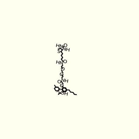 C=C(C)[C@@H]1CCC(C)=C[C@H]1c1c(O)cc(CCCCC)cc1OCC(=O)NCCOCCOCCNC(=O)CCCCC1SCC2NC(=O)NC21